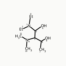 CCN(CC)C(O)C(C(C)O)N(C)C